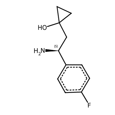 N[C@@H](CC1(O)CC1)c1ccc(F)cc1